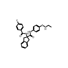 CCNSc1ccc(NC(=O)C2(NC(=O)c3ccc(F)cc3)Cc3ccccc3C2)cc1